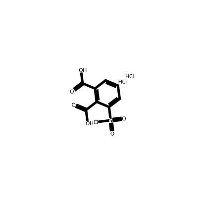 Cl.Cl.O=C(O)c1cccc(S(=O)(=O)Cl)c1C(=O)O